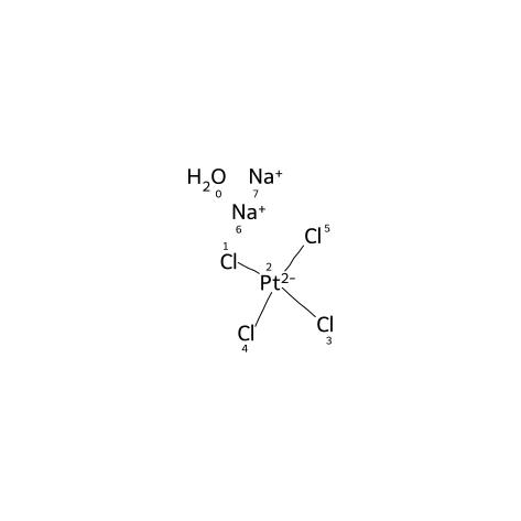 O.[Cl][Pt-2]([Cl])([Cl])[Cl].[Na+].[Na+]